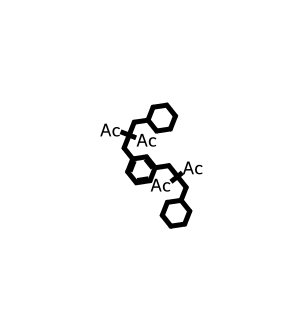 CC(=O)C(Cc1cccc(CC(CC2CCCCC2)(C(C)=O)C(C)=O)c1)(CC1CCCCC1)C(C)=O